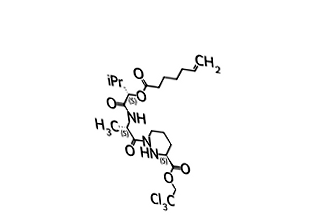 C=CCCCCC(=O)O[C@H](C(=O)N[C@@H](C)C(=O)N1CCC[C@@H](C(=O)OCC(Cl)(Cl)Cl)N1)C(C)C